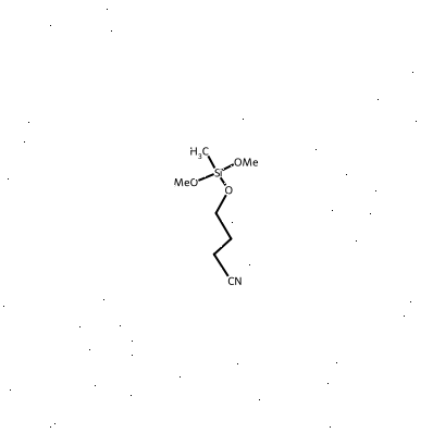 CO[Si](C)(OC)OCCCC#N